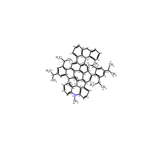 CC(C)c1cc(C(C)C)c(-c2cc3c4c(cc5c(-c6c(C(C)C)cc(C(C)C)cc6C(C)C)cc6c7c(cc2c4c57)B2c4ccccc4N(C)c4cccc-6c42)B2c4ccccc4Cc4cccc-3c42)c(C(C)C)c1